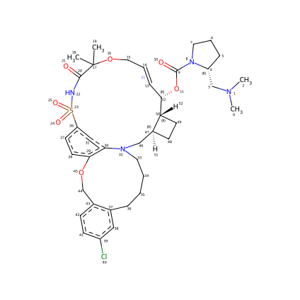 CN(C)C[C@H]1CCCN1C(=O)O[C@H]1/C=C/COC(C)(C)C(=O)NS(=O)(=O)c2ccc3c(c2)N(CCCCc2cc(Cl)ccc2CO3)C[C@@H]2CC[C@H]21